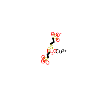 O.O=S(=O)([O-])CCCSSCCCS(=O)(=O)[O-].[Cu+2]